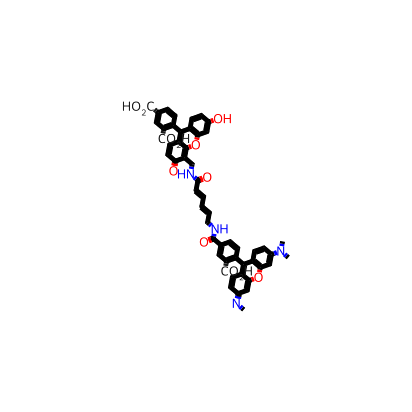 C/N=c1/ccc2c(-c3ccc(C(=O)NC/C=C/C=C/C(=O)NCc4c5oc6cc(O)ccc6c(-c6ccc(C(=O)O)cc6C(=O)O)c-5ccc4=O)cc3C(=O)O)c3ccc(N(C)C)cc3oc-2c1